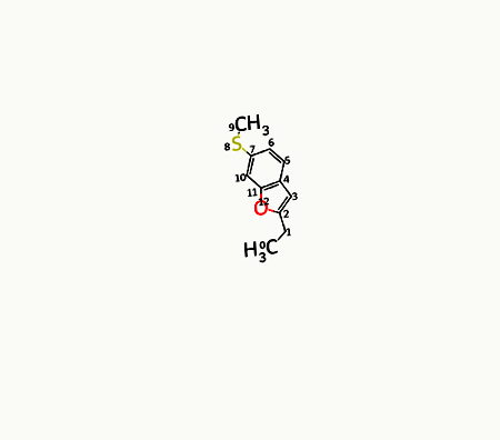 CCc1cc2ccc(SC)cc2o1